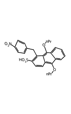 CCCOc1c2ccccc2c(OCCC)c2c(Cc3ccc([N+](=O)[O-])cc3)c(S(=O)(=O)O)ccc12